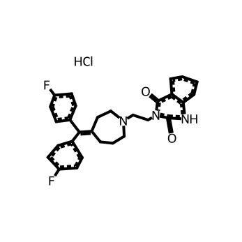 Cl.O=c1[nH]c2ccccc2c(=O)n1CCN1CCCC(=C(c2ccc(F)cc2)c2ccc(F)cc2)CC1